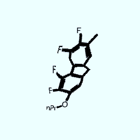 CCCOc1cc2c(c(F)c1F)-c1c(cc(C)c(F)c1F)C2